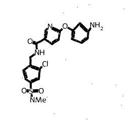 CNS(=O)(=O)c1ccc(CNC(=O)c2ccc(Oc3cccc(N)c3)nc2)c(Cl)c1